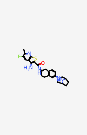 Cc1nc2sc(C(=O)N[C@@H]3CCc4cc(N5CC6CCC(C5)N6)ccc4C3)c(N)c2cc1F